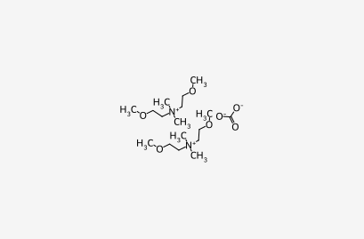 COCC[N+](C)(C)CCOC.COCC[N+](C)(C)CCOC.O=C([O-])[O-]